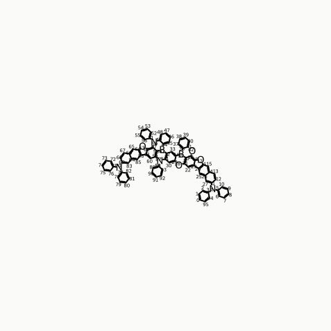 c1ccc(N(c2ccccc2)c2ccc3cc4oc5c6c7c(cc5c4cc3c2)Oc2cc3c(cc2B7c2ccccc2O6)B2c4ccccc4N(c4ccccc4)c4c2c(cc2c4oc4cc5ccc(N(c6ccccc6)c6ccccc6)cc5cc42)N3c2ccccc2)cc1